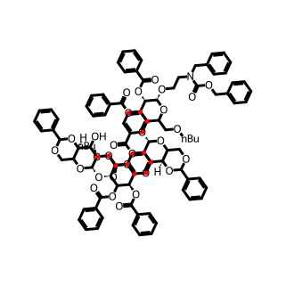 CCCCOCC1O[C@@H](OC2[C@@H]3OC(c4ccccc4)OCC3O[C@@H](O[C@@H]3C(COCCCC)O[C@@H](OCCN(Cc4ccccc4)C(=O)OCc4ccccc4)[C@@H](OC(=O)c4ccccc4)C3OC(=O)c3ccccc3)[C@H]2OC(=O)c2ccccc2)[C@@H](OC(=O)c2ccccc2)C(OC(=O)c2ccccc2)[C@@H]1O[C@@H]1OC2COC(c3ccccc3)O[C@H]2C(O)[C@@H]1OC(=O)c1ccccc1